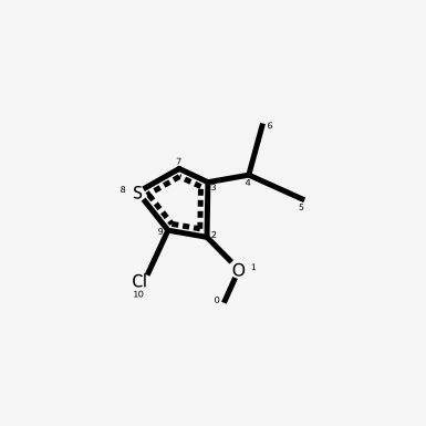 COc1c(C(C)C)csc1Cl